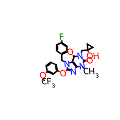 Cn1c(=O)n(CC2(O)CC2)c(=O)c2c1nc(Oc1cccc(OC(F)(F)F)c1)n2Cc1ccc(F)cc1